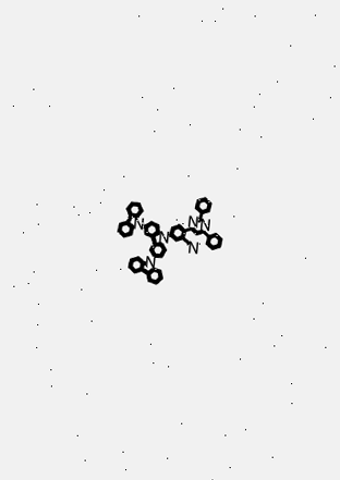 N#Cc1cc(-n2c3ccc(-n4c5ccccc5c5ccccc54)cc3c3cc(-n4c5ccccc5c5ccccc54)ccc32)ccc1-c1cc(-c2ccccc2)nc(-c2ccccc2)n1